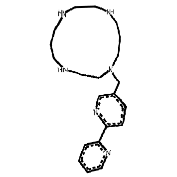 c1ccc(-c2ccc(CN3CCCNCCNCCCNCC3)cn2)nc1